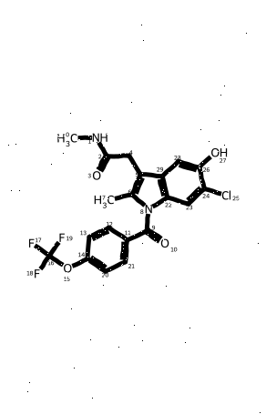 CNC(=O)Cc1c(C)n(C(=O)c2ccc(OC(F)(F)F)cc2)c2cc(Cl)c(O)cc12